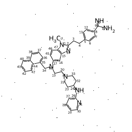 Cn1c(CCc2ccc(C(=N)N)cc2)nc2cc(N(CCN3CCC(Nc4ccccn4)CC3)Cc3cccc4ccccc34)ccc21